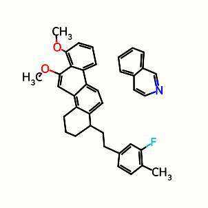 COc1cccc2c1c(OC)cc1c3c(ccc12)C(CCc1ccc(C)c(F)c1)CCC3.c1ccc2cnccc2c1